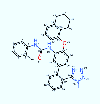 Cc1ccccc1NC(=O)Nc1cc(-c2ccccc2-c2nnn[nH]2)ccc1Oc1cccc2c1CCCC2